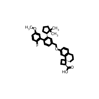 COc1ccc(F)c(-c2ccc(COc3ccc4c(c3)[C@]3(CCC4)CC[C@@H]3C(=O)O)cc2[C@@H]2CCCC2(C)C)c1